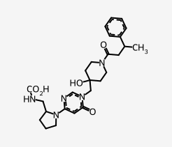 CC(CC(=O)N1CCC(O)(Cn2cnc(N3CCCC3CNC(=O)O)cc2=O)CC1)c1ccccc1